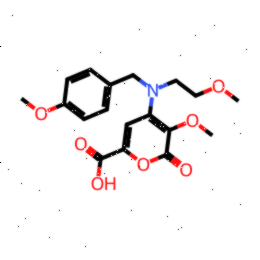 COCCN(Cc1ccc(OC)cc1)c1cc(C(=O)O)oc(=O)c1OC